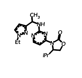 CCn1ccc(C(C)Nc2nccc(N3C(=O)OCC3C(C)C)n2)n1